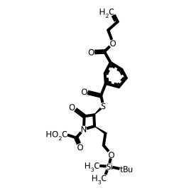 C=CCOC(=O)c1cccc(C(=O)S[C@@H]2C(=O)N(C(=O)C(=O)O)[C@@H]2CCO[Si](C)(C)C(C)(C)C)c1